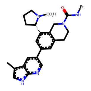 CCNC(=O)N1CCc2cc(-c3cnc4[nH]cc(C)c4c3)cc([C@@H]3CCCN3C(=O)O)c2C1